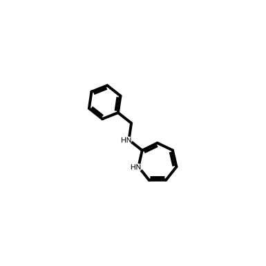 C1=CC=C(NCc2ccccc2)NC=C1